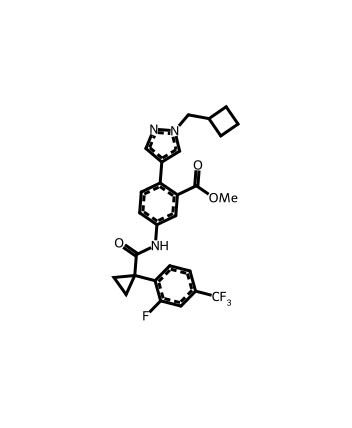 COC(=O)c1cc(NC(=O)C2(c3ccc(C(F)(F)F)cc3F)CC2)ccc1-c1cnn(CC2CCC2)c1